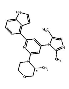 Cc1nnc(C)n1-c1cc(-c2cccc3[nH]ccc23)nc(N2CCOC[C@H]2C)c1